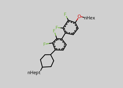 CCCCCCCC1CCC(c2ccc(-c3ccc(OCCCCCC)c(F)c3F)c(F)c2F)CC1